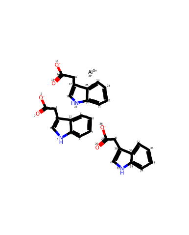 O=C([O-])Cc1c[nH]c2ccccc12.O=C([O-])Cc1c[nH]c2ccccc12.O=C([O-])Cc1c[nH]c2ccccc12.[Al+3]